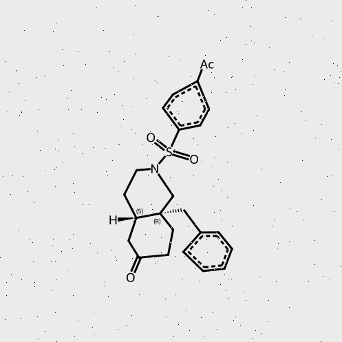 CC(=O)c1ccc(S(=O)(=O)N2CC[C@H]3CC(=O)CC[C@]3(Cc3ccccc3)C2)cc1